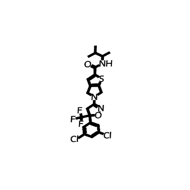 CC(C)C(C)NC(=O)c1cc2c(s1)CN(C1=NOC(c3cc(Cl)cc(Cl)c3)(C(F)(F)F)C1)C2